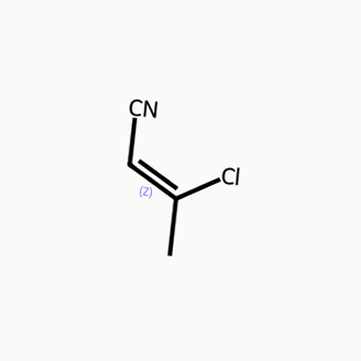 C/C(Cl)=C/C#N